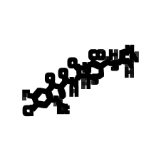 CCn1cc(C(=O)NC2C(=O)N3C(C(=O)O)=C(CSc4cnn[nH]4)CS[C@@H]23)c(=O)c2cc(F)c(Cl)cc21